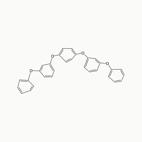 c1ccc(Oc2cccc(Oc3ccc(Oc4cccc(Oc5ccccc5)c4)cc3)c2)cc1